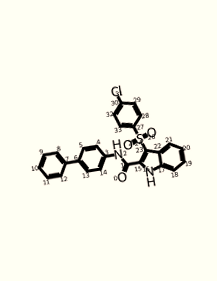 O=C(Nc1ccc(-c2ccccc2)cc1)c1[nH]c2ccccc2c1S(=O)(=O)c1ccc(Cl)cc1